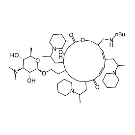 CCCCNCC1C=C(CC(C)N2CCCCC2)C=CC(=O)C(CC(C)N2CCCCC2)CCC(CCO[C@@H]2O[C@H](C)[C@@H](O)[C@H](N(C)C)[C@H]2O)C(CC(C)N2CCCCC2)C(O)CC(=O)OC1